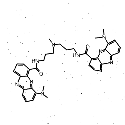 CN(CCCNC(=O)c1cccc2nc3cccc(N(C)C)c3nc12)CCCNC(=O)c1cccc2nc3cccc(N(C)C)c3nc12